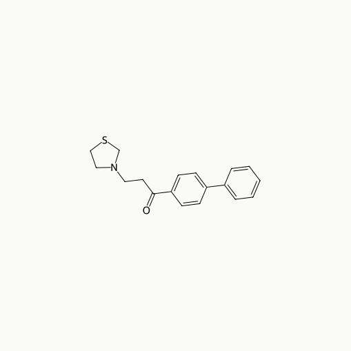 O=C(CCN1CCSC1)c1ccc(-c2ccccc2)cc1